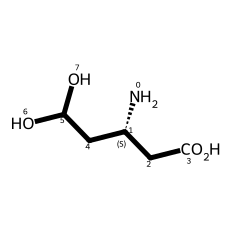 N[C@H](CC(=O)O)CC(O)O